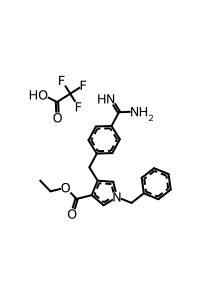 CCOC(=O)c1cn(Cc2ccccc2)cc1Cc1ccc(C(=N)N)cc1.O=C(O)C(F)(F)F